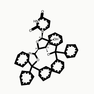 CCCC(OC(c1ccccc1)(c1ccccc1)c1ccccc1)[C@H]1O[C@@H](n2ccc(=O)[nH]c2=O)[C@H](O)[C@@H]1OC(c1ccccc1)(c1ccccc1)c1ccccc1